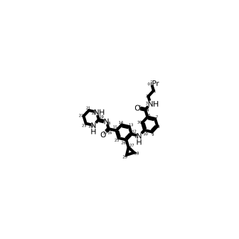 CC(C)CCNC(=O)c1cccc(Nc2ccc(C(=O)N=C3NCCCN3)cc2C2CC2)c1